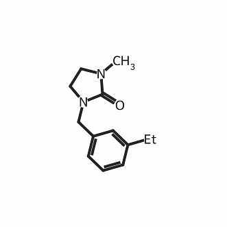 CCc1cccc(CN2CCN(C)C2=O)c1